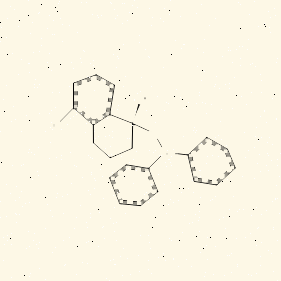 CC(C)(C)c1cccc2c1CCC[C@@]2(O)O[SiH](c1ccccc1)c1ccccc1